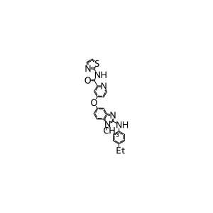 CCc1ccc(Nc2nc3cc(Oc4ccnc(C(=O)Nc5nccs5)c4)ccc3n2C)cc1